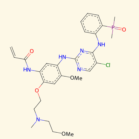 C=CC(=O)Nc1cc(Nc2ncc(Cl)c(Nc3ccccc3P(C)(C)=O)n2)c(OC)cc1OCCN(C)CCOC